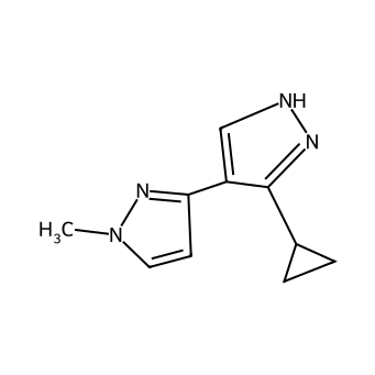 Cn1ccc(-c2c[nH]nc2C2CC2)n1